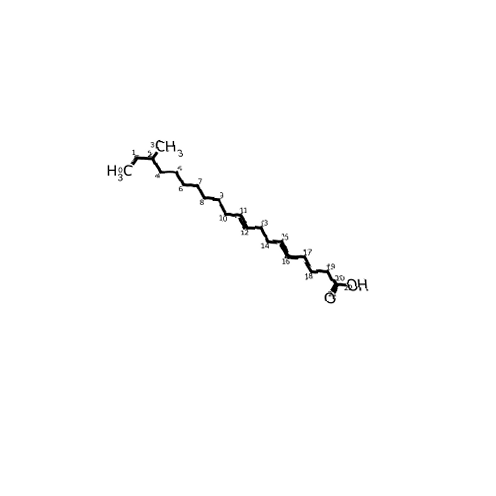 CCC(C)CCCCCCCC=CCCC=CCCCC(=O)O